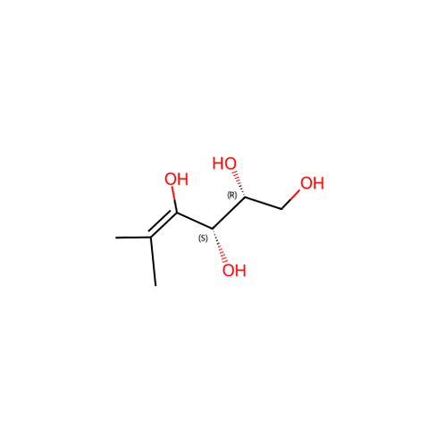 CC(C)=C(O)[C@@H](O)[C@H](O)CO